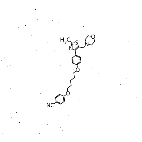 Cc1nc(-c2ccc(OCCCCCOc3ccc(C#N)cc3)cc2)c(CN2CCOCC2)s1